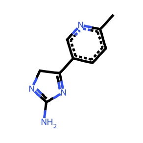 Cc1ccc(C2=NC(N)=NC2)cn1